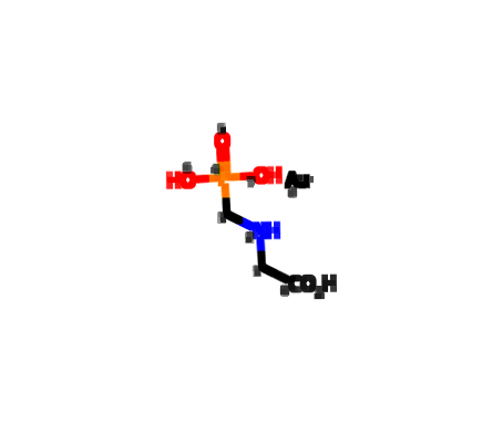 O=C(O)CNCP(=O)(O)O.[Au]